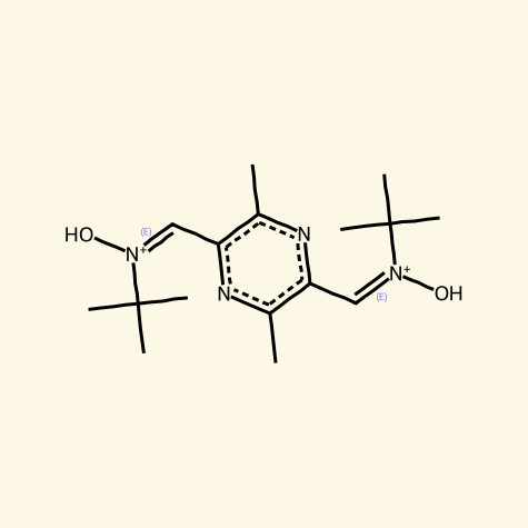 Cc1nc(/C=[N+](/O)C(C)(C)C)c(C)nc1/C=[N+](/O)C(C)(C)C